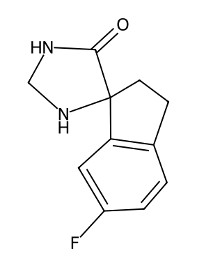 O=C1NCNC12CCc1ccc(F)cc12